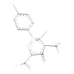 Cc1c(C(=O)O)c(=O)c(C(=O)O)nn1-c1ccc(Cl)cc1